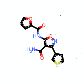 NC(=O)c1c(-c2ccsc2)noc1NC(=O)c1ccco1